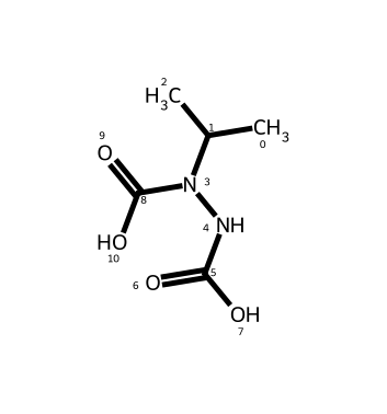 CC(C)N(NC(=O)O)C(=O)O